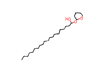 CCCCCCCCCCCCCCCCCCCC(O)OC1CCCCO1